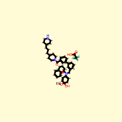 CCOC1(O)C=CC(N(Cc2cccc(-c3cccc(C(=O)N4CCC(CCCC5CCNCC5)CC4)c3)c2)C(=O)CCCc2ccccc2)=CC1.O=C(O)C(F)(F)F